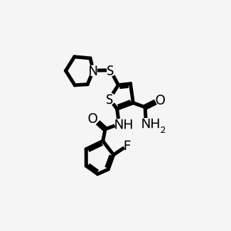 NC(=O)c1cc(SN2CCCCC2)sc1NC(=O)c1ccccc1F